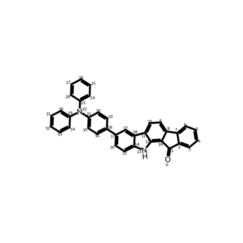 O=C1c2ccccc2-c2ccc3c([nH]c4ccc(-c5ccc(N(c6ccccc6)c6ccccc6)cc5)cc43)c21